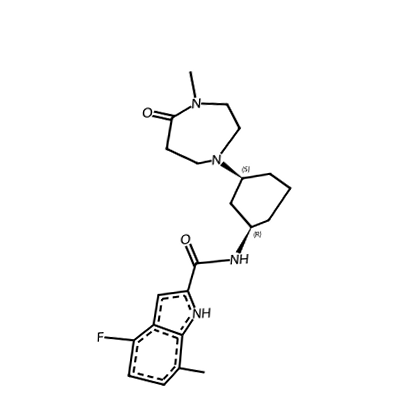 Cc1ccc(F)c2cc(C(=O)N[C@@H]3CCC[C@H](N4CCC(=O)N(C)CC4)C3)[nH]c12